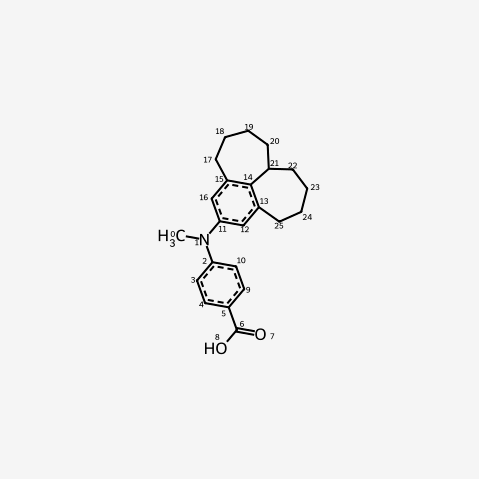 CN(c1ccc(C(=O)O)cc1)c1cc2c3c(c1)CCCCC3CCCC2